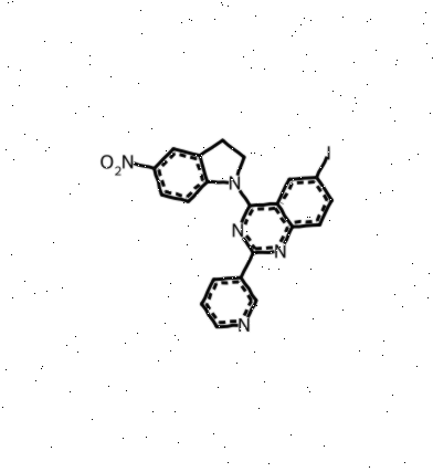 O=[N+]([O-])c1ccc2c(c1)CCN2c1nc(-c2cccnc2)nc2ccc(I)cc12